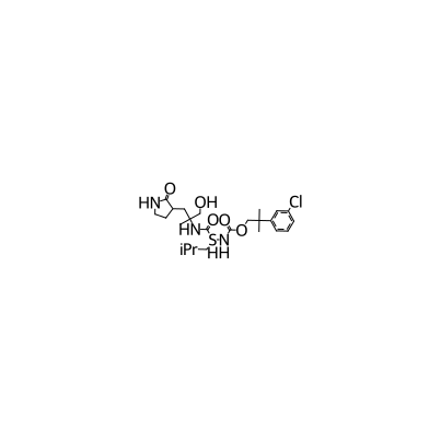 CC(C)C[SH](NC(=O)OCC(C)(C)c1cccc(Cl)c1)C(=O)NC(C)(CO)CC1CCNC1=O